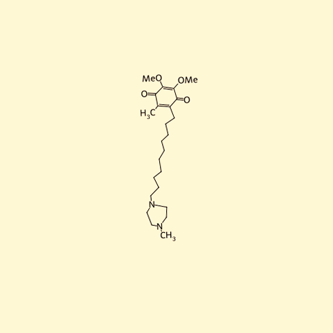 COC1=C(OC)C(=O)C(CCCCCCCCCCN2CCN(C)CC2)=C(C)C1=O